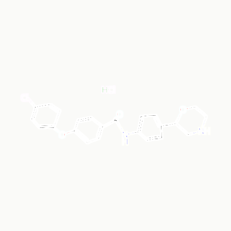 Cl.O=C(Nc1ccc(C2CNCCO2)cc1)c1ccc(Oc2ccc(Cl)cc2)cc1